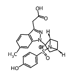 Cc1ccc2c(CC(=O)O)nn([C@@H]3C[C@H]4C[C@@H]3N4S(=O)(=O)c3ccc(O)cc3)c2c1